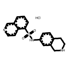 Cl.O=S(=O)(Nc1ccc2c(c1)CNCC2)c1cccc2cnccc12